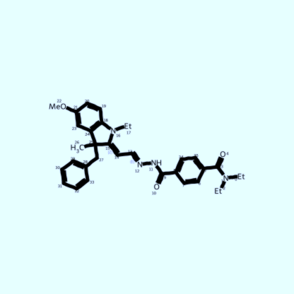 CCN(CC)C(=O)c1ccc(C(=O)N/N=C/C=C2\N(CC)c3ccc(OC)cc3C2(C)Cc2ccccc2)cc1